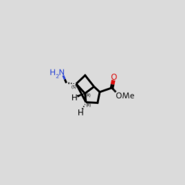 COC(=O)C1C[C@@H]2[C@H]3C1C[C@]23CN